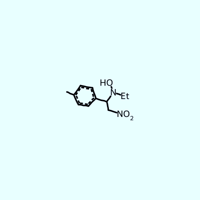 CCN(O)C(C[N+](=O)[O-])c1ccc(C)cc1